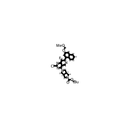 COCOc1cc(-c2ncc3c(N4CC5CN(C(=O)OC(C)(C)C)CC5C4)nc(Cl)nc3c2F)c2ccccc2c1